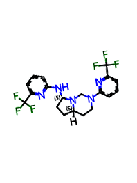 FC(F)(F)c1cccc(N[C@@H]2CC[C@H]3CCN(c4cccc(C(F)(F)F)n4)CN32)n1